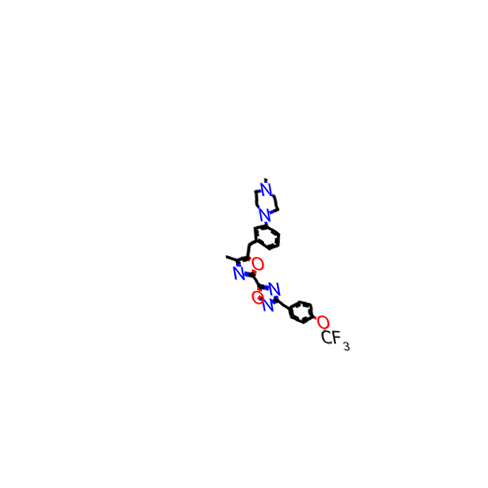 Cc1nc(-c2nc(-c3ccc(OC(F)(F)F)cc3)no2)oc1Cc1cccc(N2CCN(C)CC2)c1